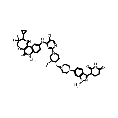 C[C@H]1CN(c2ncc(Cl)c(Nc3ccc4c(c3)c3c(c(=O)n4C)OCC(F)(F)C(C4CC4)N3)n2)CC[C@@H]1CN1CCN(c2ccc3c(C4CCC(=O)NC4=O)nn(C)c3c2)CC1